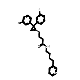 O=C(CCC[C@H]1CC1(c1cccc(F)c1)c1cccc(F)c1)NCCCCc1cccnc1